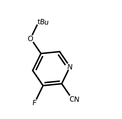 CC(C)(C)Oc1cnc(C#N)c(F)c1